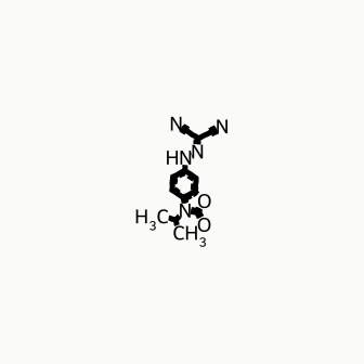 CC(C)n1c(=O)oc2cc(NN=C(C#N)C#N)ccc21